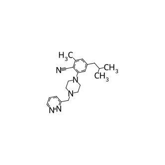 Cc1cc(CC(C)C)cc(N2CCN(Cc3cccnn3)CC2)c1C#N